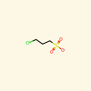 [O]S(=O)(=O)CCCCl